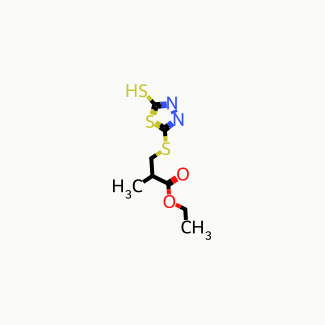 CCOC(=O)C(C)CSc1nnc(S)s1